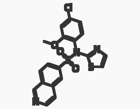 COc1cc(Cl)ccc1N(c1nccs1)S(=O)(=O)c1ccc2cnccc2c1